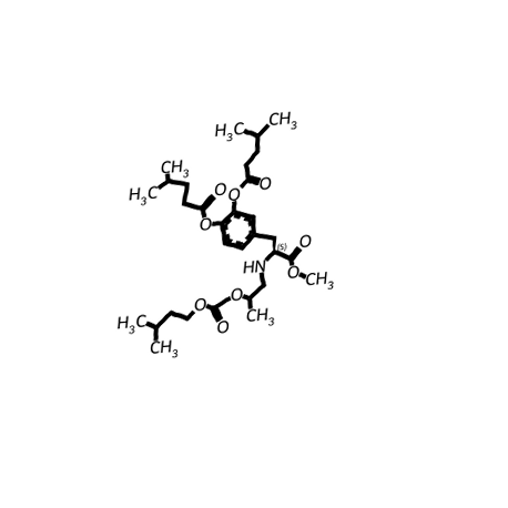 COC(=O)[C@H](Cc1ccc(OC(=O)CCC(C)C)c(OC(=O)CCC(C)C)c1)NCC(C)OC(=O)OCCC(C)C